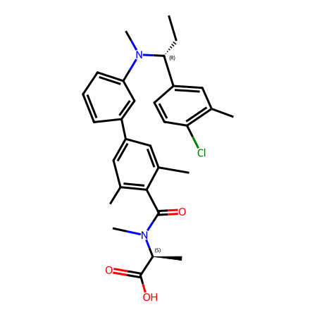 CC[C@H](c1ccc(Cl)c(C)c1)N(C)c1cccc(-c2cc(C)c(C(=O)N(C)[C@@H](C)C(=O)O)c(C)c2)c1